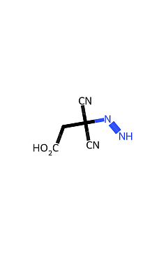 N#CC(C#N)(CC(=O)O)N=N